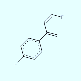 C=C(/C=C\CC)c1ccc(F)cc1